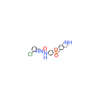 O=C(NCc1cccc(Cl)c1)Nc1ccc(S(=O)(=O)Cc2ccc3c(c2)CCNC3)cc1